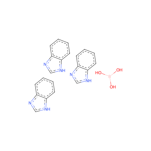 OB(O)O.c1ccc2[nH]cnc2c1.c1ccc2[nH]cnc2c1.c1ccc2[nH]cnc2c1